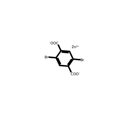 O=C([O-])c1cc(Br)c(C(=O)[O-])cc1Br.[Zn+2]